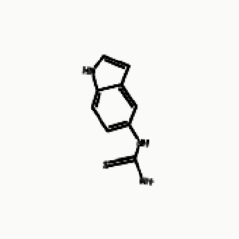 [NH]C(=S)Nc1ccc2[nH]ccc2c1